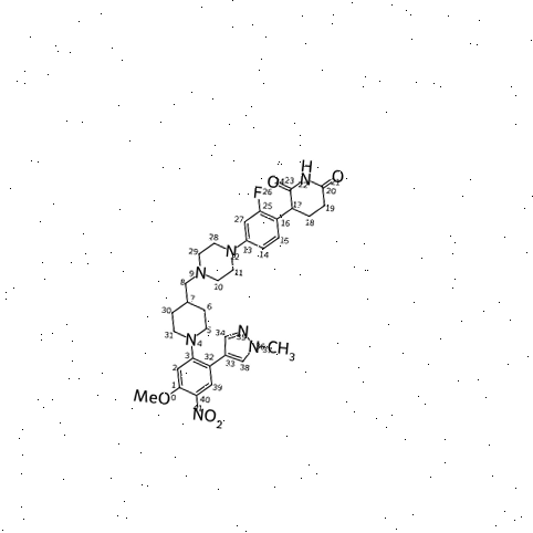 COc1cc(N2CCC(CN3CCN(c4ccc(C5CCC(=O)NC5=O)c(F)c4)CC3)CC2)c(-c2cnn(C)c2)cc1[N+](=O)[O-]